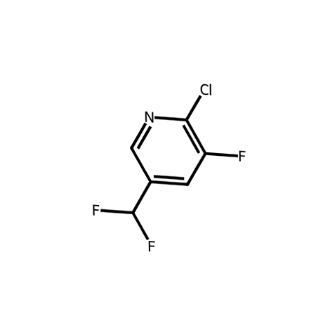 Fc1cc(C(F)F)cnc1Cl